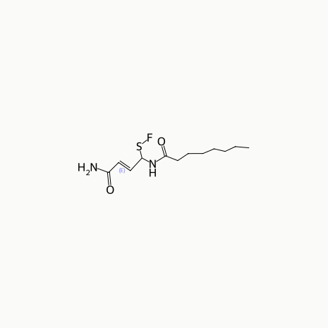 CCCCCCCC(=O)NC(/C=C/C(N)=O)SF